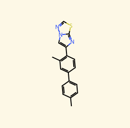 Cc1ccc(-c2ccc(-c3cn4ncsc4n3)c(C)c2)cc1